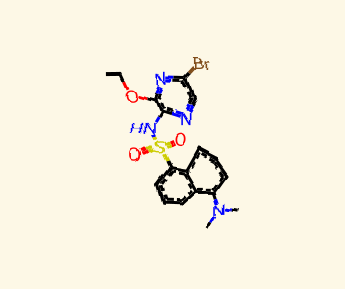 CCOc1nc(Br)cnc1NS(=O)(=O)c1cccc2c(N(C)C)cccc12